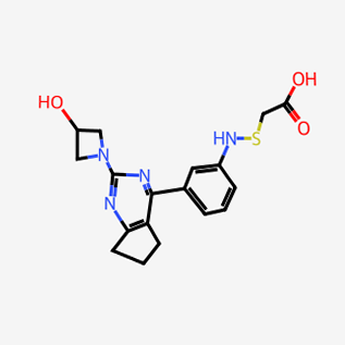 O=C(O)CSNc1cccc(-c2nc(N3CC(O)C3)nc3c2CCC3)c1